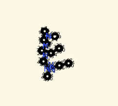 C1=CCC(n2c3ccccc3c3ccc4c(ccn4-c4cccc5c4c4cc(-c6ccccc6)ccc4n5-c4cccc(-c5nc(-c6ccccc6)nc(-c6ccc(-c7ccccc7)cc6)n5)c4)c32)C=C1